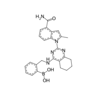 Cc1cc2c(C(N)=O)cccc2n1-c1nc2c(c(NCc3ccccc3B(O)O)n1)CCCC2